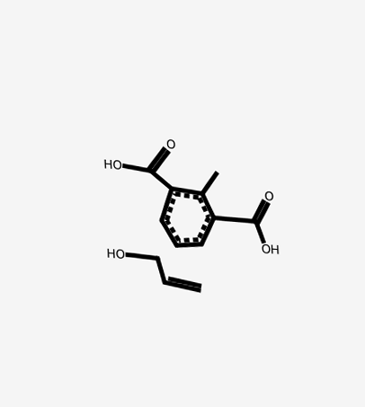 C=CCO.Cc1c(C(=O)O)cccc1C(=O)O